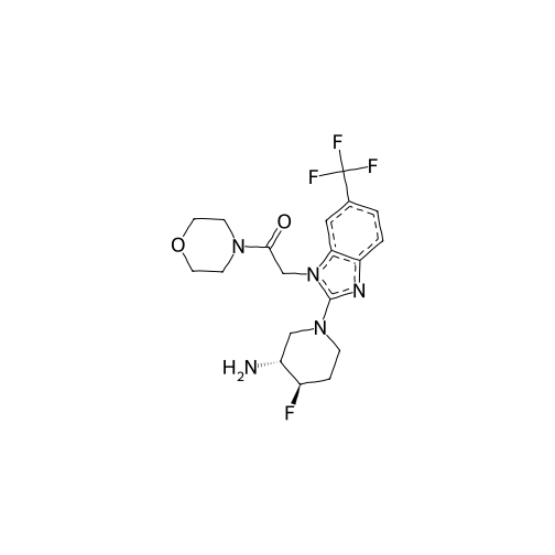 N[C@@H]1CN(c2nc3ccc(C(F)(F)F)cc3n2CC(=O)N2CCOCC2)CC[C@H]1F